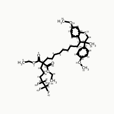 CCOC(=O)C(CCCCCCCCC1c2ccc(OC)cc2SCC1(C)c1ccc(OC)cc1)(CCCC(F)(F)C(F)(F)F)C(=O)OCC